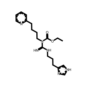 CCOC(=O)N(CCCCc1ccccn1)C(=N)NCCCc1c[nH]cn1